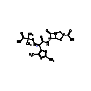 Cc1sc(N)nc1/C(=N/OC(C)(C)C(=O)O)C(=O)N[C@@H]1C(=O)N2C[C@H](C(=O)O)SC12